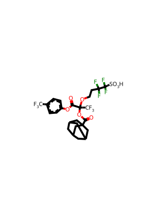 O=C(OC(OCCC(F)(F)C(F)(F)S(=O)(=O)O)(C(=O)Oc1ccc(C(F)(F)F)cc1)C(F)(F)F)C12CC3CC(CC(C3)C1)C2